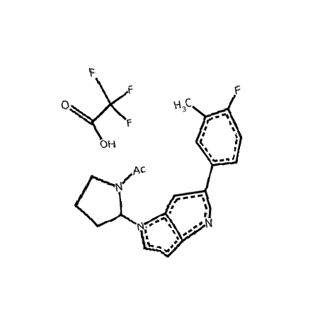 CC(=O)N1CCCC1n1ccc2ncc(-c3ccc(F)c(C)c3)cc21.O=C(O)C(F)(F)F